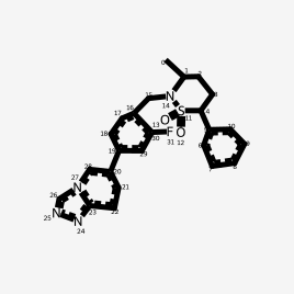 CC1CCC(c2ccccc2)S(=O)(=O)N1Cc1ccc(-c2ccc3nncn3c2)cc1F